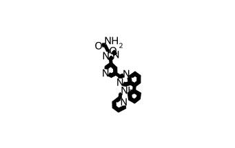 NC(=O)c1nc(-c2cncc(-c3nc(NCc4ccccn4)c4c(-c5ccccc5)cccc4n3)c2)no1